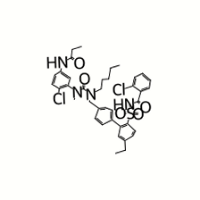 CCCCCN(Cc1ccc(-c2cc(CC)ccc2S(=O)(=O)NC(=O)c2ccccc2Cl)cc1)C(=O)N(C)c1cc(NC(=O)CC)ccc1Cl